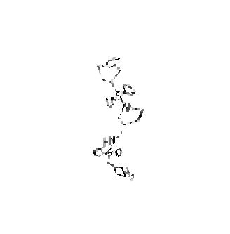 C=CS(=O)(=O)NC[C@H]1CCN(S(=O)(=O)C2CCOC2)C1